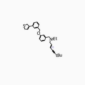 CCN(C/C=C/C#CC(C)(C)C)Cc1cccc(OCc2cccc(C3=CCSC3)c2)c1